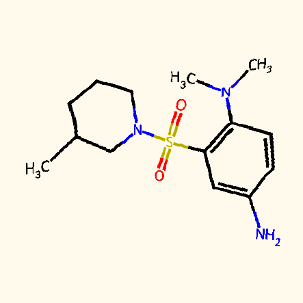 CC1CCCN(S(=O)(=O)c2cc(N)ccc2N(C)C)C1